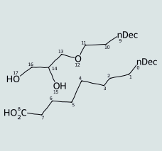 CCCCCCCCCCCCCCCCCC(=O)O.CCCCCCCCCCCCOCC(O)CO